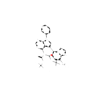 CC(C)(C)OC(=O)N(C(=O)OC(C)(C)C)c1ncnc2c1c(-c1ccc(N)c3nccn13)cn2-c1cccnc1